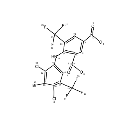 O=[N+]([O-])c1cc([N+](=O)[O-])c(Nc2cc(C(F)(F)F)c(Cl)c(Br)c2Cl)c(C(F)(F)F)c1